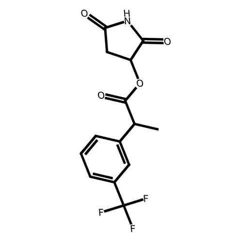 CC(C(=O)OC1CC(=O)NC1=O)c1cccc(C(F)(F)F)c1